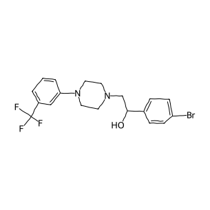 OC(CN1CCN(c2cccc(C(F)(F)F)c2)CC1)c1ccc(Br)cc1